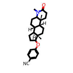 CN1C(=O)CC[C@@]2(C)C1CC[C@@H]1[C@H]2CC[C@]2(C)C(Oc3ccc(C#N)cc3)CC[C@@H]12